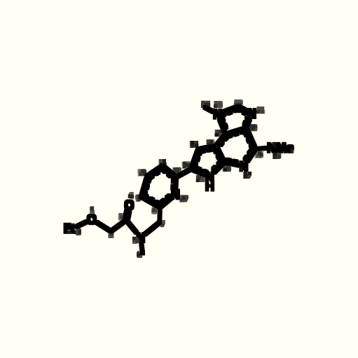 CCOCC(=O)N(C)Cc1cccc(-c2cc3c(nc(NC)c4ncn(C)c43)[nH]2)n1